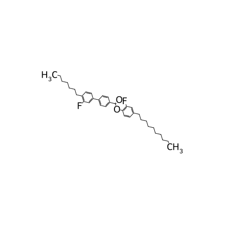 CCCCCCCCCCc1ccc(OC(=O)c2ccc(-c3ccc(CCCCCCC)c(F)c3)cc2)c(F)c1